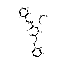 O=C(O)CC[C@H](NC(=O)OCc1ccccc1)C(=O)NCc1ccccc1